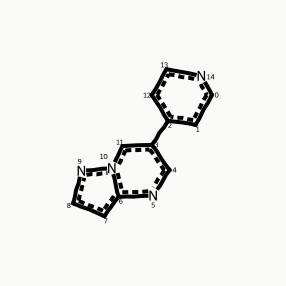 c1cc(-c2cnc3ccnn3c2)ccn1